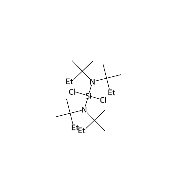 CCC(C)(C)N(C(C)(C)CC)[Si](Cl)(Cl)N(C(C)(C)CC)C(C)(C)CC